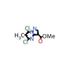 COC(=O)c1cnn2c(Cl)c(C)c(Cl)nc12